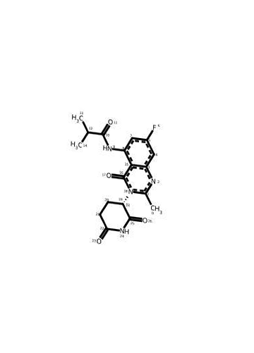 Cc1nc2cc(F)cc(NC(=O)C(C)C)c2c(=O)n1[C@H]1CCC(=O)NC1=O